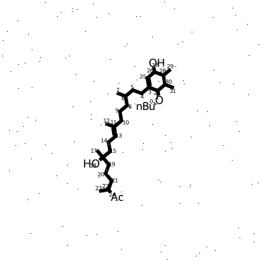 CCCCOC1C(CCC(C)CCC/C(C)=C/CCC(C)(O)CCCC(C)C(C)=O)=CC(O)C(C)C1C